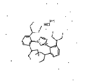 CCC(CC)c1cccc(C(CC)CC)c1-n1cc[n+](-c2c(C(CC)CC)cccc2C(CC)CC)c1.Cl.[Pd]